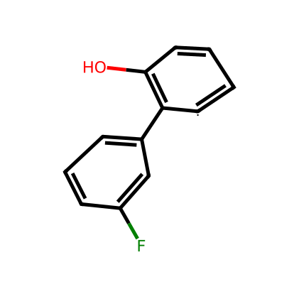 Oc1ccc[c]c1-c1cccc(F)c1